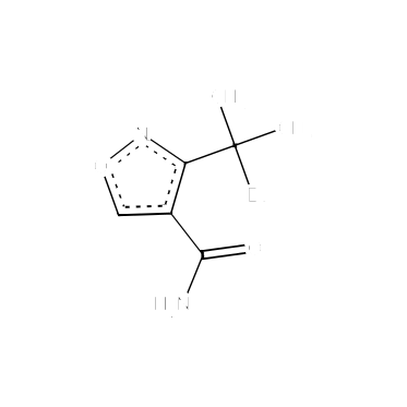 CCC(C)(C)c1no[c]c1C(N)=O